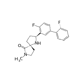 CN1CC[C@]2(CC[C@@H](c3cc(-c4ccccc4F)ccc3F)N2)C1=O